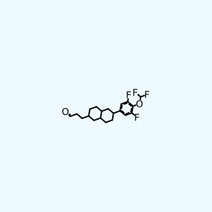 O=CCCC1CCC2CC(c3cc(F)c(OC(F)F)c(F)c3)CCC2C1